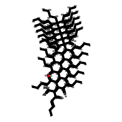 CCC=CC(=O)C(C(=O)O)=C(C(=O)C=CCC)C(C(=O)C=CCC)=C(C(=O)C=CCC)C(C(=O)C=CCC)=C(C(=O)C=CCC)C(C(=O)C=CCC)=C(C(=O)C=CCC)C(C(=O)C=CCC)=C(C(=O)C=CCC)C(C(=O)C=CCC)(C(=O)C=CCC)C(C(=O)C=CCC)(C(=O)C=CCC)C(C(=O)C=CCC)(C(=O)C=CCC)C(C(=O)C=CCC)(C(=O)C=CCC)C(CCCC)(C(=O)C=CCC)C(=O)C=CCC